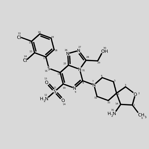 CC1OCC2(CCN(c3nc(S(N)(=O)=O)c(Sc4cccc(Cl)c4Cl)c4nnc(CO)n34)CC2)C1N